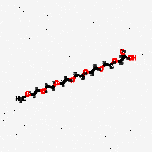 COCCOCCOCCOCCOCCOCCOCC(=O)O